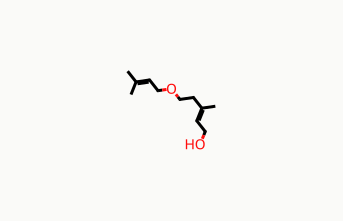 CC(C)=CCOCCC(C)=CCO